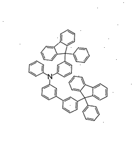 c1ccc(N(c2cccc(-c3cccc(C4(c5ccccc5)c5ccccc5-c5ccccc54)c3)c2)c2cccc(C3(c4ccccc4)c4ccccc4-c4ccccc43)c2)cc1